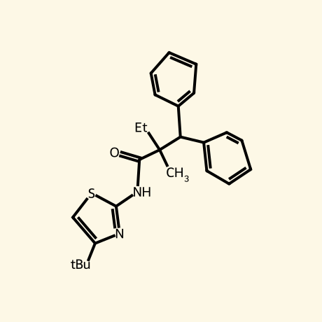 CCC(C)(C(=O)Nc1nc(C(C)(C)C)cs1)C(c1ccccc1)c1ccccc1